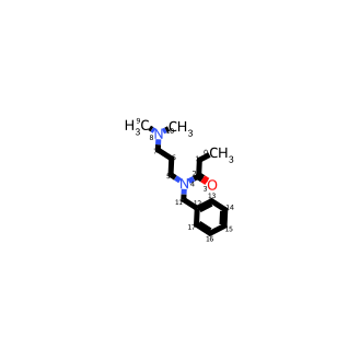 CCC(=O)N(CCCN(C)C)Cc1ccccc1